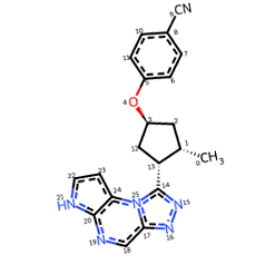 C[C@H]1C[C@H](Oc2ccc(C#N)cc2)C[C@H]1c1nnc2cnc3[nH]ccc3n12